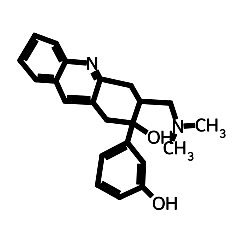 CN(C)CC1Cc2nc3ccccc3cc2CC1(O)c1cccc(O)c1